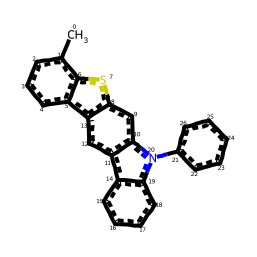 Cc1cccc2c1sc1cc3c(cc12)c1ccccc1n3-c1ccccc1